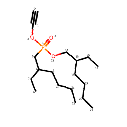 C#COP(=O)(CC(CC)CCCC)OCC(CC)CCCC